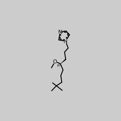 CO[C@@H](CCCn1ccnc1)CCCC(C)(C)C